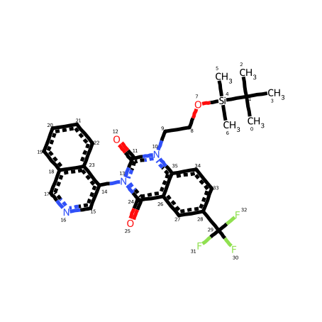 CC(C)(C)[Si](C)(C)OCCn1c(=O)n(-c2cncc3ccccc23)c(=O)c2cc(C(F)(F)F)ccc21